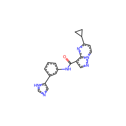 O=C(Nc1cccc(-c2cnc[nH]2)c1)c1cnn2ccc(C3CC3)nc12